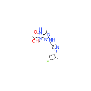 Cc1cc(F)ccc1Cn1cc(CNc2nc(C)c3c(n2)N(C)[C@@H]([C@H](C)O)C(=O)N3)cn1